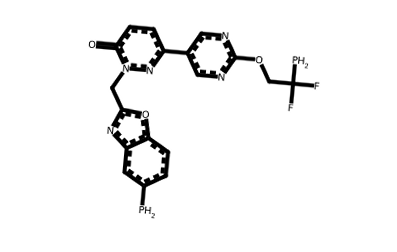 O=c1ccc(-c2cnc(OCC(F)(F)P)nc2)nn1Cc1nc2cc(P)ccc2o1